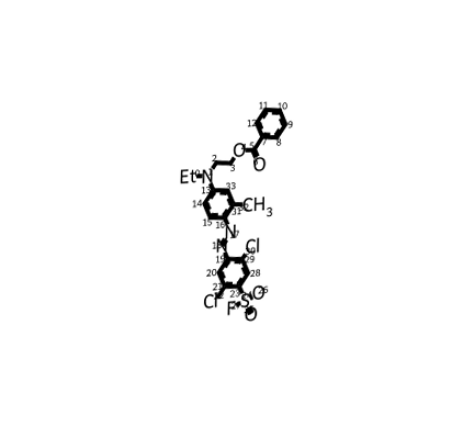 CCN(CCOC(=O)c1ccccc1)c1ccc(/N=N/c2cc(Cl)c(S(=O)(=O)F)cc2Cl)c(C)c1